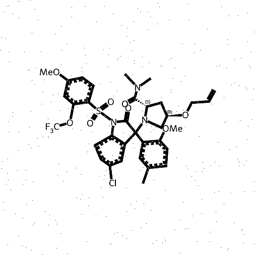 C=CCO[C@@H]1C[C@@H](C(=O)N(C)C)N(C2(c3cc(C)ccc3OC)C(=O)N(S(=O)(=O)c3ccc(OC)cc3OC(F)(F)F)c3ccc(Cl)cc32)C1